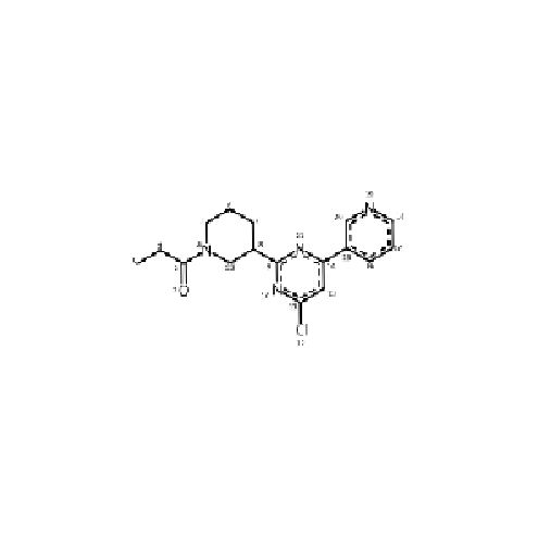 CCC(=O)N1CCCC(c2nc(Cl)cc(-c3cccnc3)n2)C1